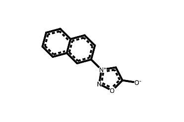 [O-]c1c[n+](-c2ccc3ccccc3c2)no1